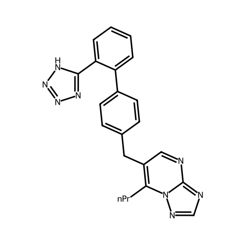 CCCc1c(Cc2ccc(-c3ccccc3-c3nnn[nH]3)cc2)cnc2ncnn12